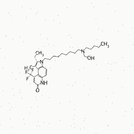 CCCCCN(CO)CCCCCCCCCn1c(CC)c(C)c2c3c(C(F)(F)F)cc(=O)[nH]c3ccc21